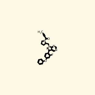 CC#CC(=O)N1CCCC1Cn1nc(-c2ccc(Oc3ccccc3)cc2F)c2cncnc21